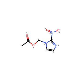 CC(=O)OCn1ccnc1[N+](=O)[O-]